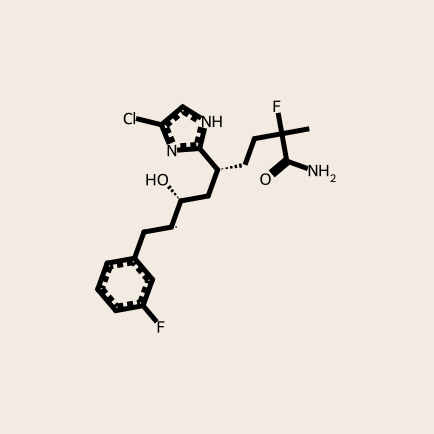 CC(F)(CC[C@H](C[C@@H](O)[CH]Cc1cccc(F)c1)c1nc(Cl)c[nH]1)C(N)=O